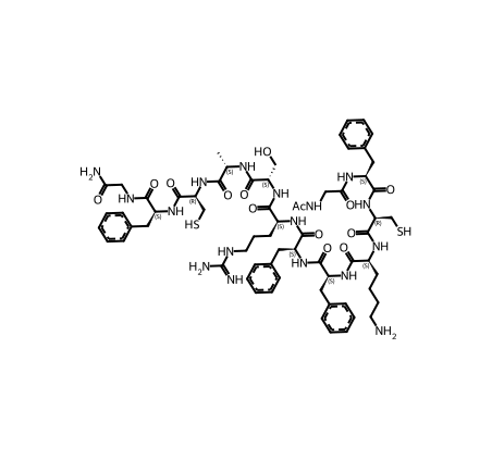 CC(=O)NCC(=O)N[C@@H](Cc1ccccc1)C(=O)N[C@@H](CS)C(=O)N[C@@H](CCCCN)C(=O)N[C@@H](Cc1ccccc1)C(=O)N[C@@H](Cc1ccccc1)C(=O)N[C@@H](CCCNC(=N)N)C(=O)N[C@@H](CO)C(=O)N[C@@H](C)C(=O)N[C@@H](CS)C(=O)N[C@@H](Cc1ccccc1)C(=O)NCC(N)=O